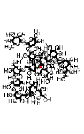 CC1C(O)[C@H](O[C@@H]2OC(CO[C@H]3OC(CO)[C@@H](O)C(O)C3O[C@@H]3O[C@@H](CO)[C@@H](O[C@@H]4OC(CO[C@]5(C(=O)O)C[C@@H](O)[C@@H](N)C([C@H](O)[C@H](O)CO)O5)[C@H](O)C(O)[C@@H]4O)C(O)C3C)[C@@H](O)C(O[C@H]3O[C@H](CO)[C@@H](O)C(O)C3O[C@@H]3OC(CO)[C@@H](O[C@@H]4OC(CO[C@]5(C(=O)O)C[C@@H](O)[C@@H](N)C([C@H](O)[C@H](O)CO)O5)[C@H](O)C(O)[C@@H]4O)C(O)[C@@H]3C)[C@H]2O)C(CO)O[C@H]1O[C@@H]1C(CO[C@@H]2O[C@@H](C)[C@@H](O)C(O)C2O)O[C@@H](C)[C@@H](C)C1O